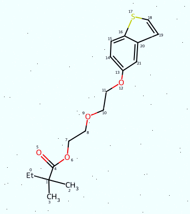 CCC(C)(C)C(=O)OCCOCCOc1ccc2sccc2c1